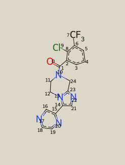 O=C(c1cccc(C(F)(F)F)c1Cl)N1CCn2c(-c3cnccn3)cnc2C1